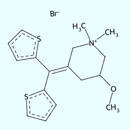 COC1CC(=C(c2cccs2)c2cccs2)C[N+](C)(C)C1.[Br-]